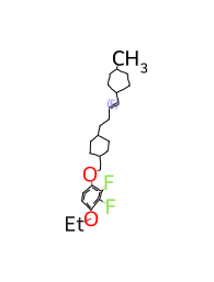 CCOc1ccc(OCC2CCC(CC/C=C/C3CCC(C)CC3)CC2)c(F)c1F